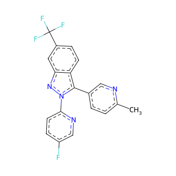 Cc1ccc(-c2c3ccc(C(F)(F)F)cc3nn2-c2ccc(F)cn2)cn1